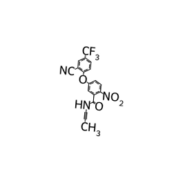 CC#CNC(=O)c1cc(Oc2ccc(C(F)(F)F)cc2C#N)ccc1[N+](=O)[O-]